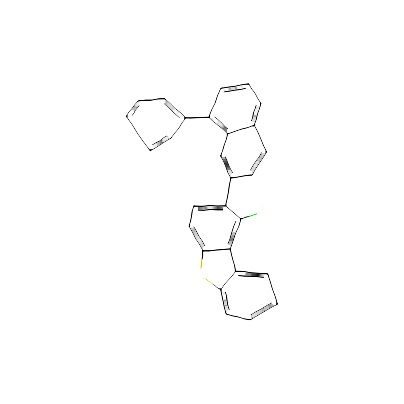 Clc1c(-c2ccc3cccc(-c4ccccc4)c3c2)ccc2sc3ccccc3c12